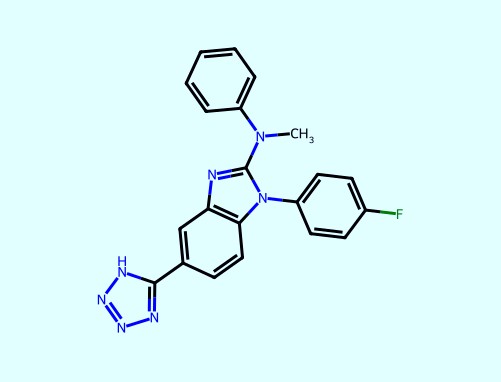 CN(c1ccccc1)c1nc2cc(-c3nnn[nH]3)ccc2n1-c1ccc(F)cc1